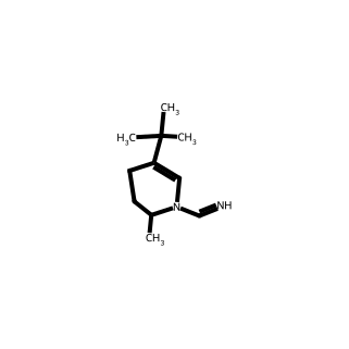 CC1CCC(C(C)(C)C)=CN1C=N